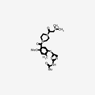 CCC(C)C(=O)Nc1ncc(Sc2cc(C(=O)N3CCN(C(=O)CN(C)C)CC3)c(OC)cc2C)s1